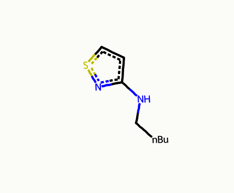 CCCCCNc1ccsn1